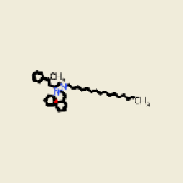 CCCCCCCCCCCCCCCCn1cc(CC(C)c2ccccc2)[n+](-c2ccccc2)c1Cc1ccccc1